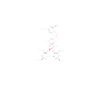 Cc1cc(C2C(=O)Oc3c2cc(C(C)(C)C)cc3C(C)(C)C)cc(C)c1OP1(=O)Oc2c(cc(C(C)(C)C)cc2C(C)(C)C)Cc2cc(C(C)(C)C)cc(C(C)(C)C)c2O1